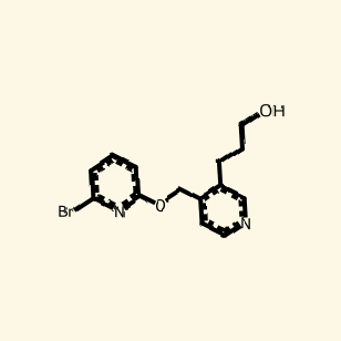 OCCCc1cnccc1COc1cccc(Br)n1